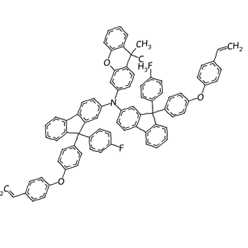 C=Cc1ccc(Oc2ccc(C3(c4ccc(F)cc4)c4ccccc4-c4ccc(N(c5ccc6c(c5)Oc5ccccc5C6(C)C)c5ccc6c(c5)C(c5ccc(F)cc5)(c5ccc(Oc7ccc(C=C)cc7)cc5)c5ccccc5-6)cc43)cc2)cc1